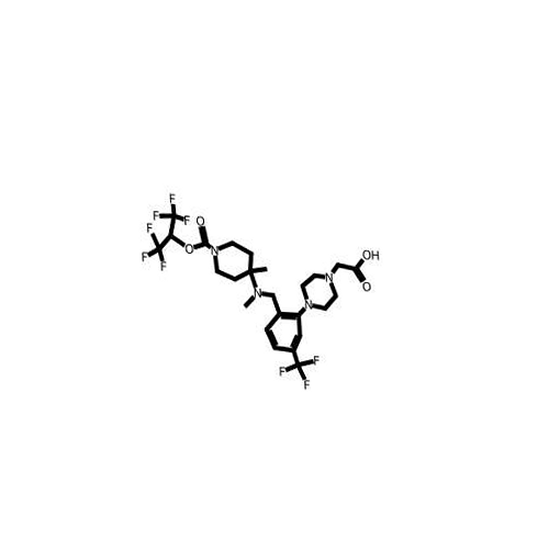 CN(Cc1ccc(C(F)(F)F)cc1N1CCN(CC(=O)O)CC1)C1(C)CCN(C(=O)OC(C(F)(F)F)C(F)(F)F)CC1